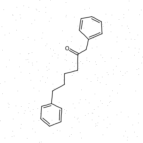 O=C(CCCCc1ccccc1)Cc1ccccc1